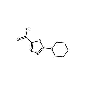 O=C(O)c1nnc(N2CCCCC2)o1